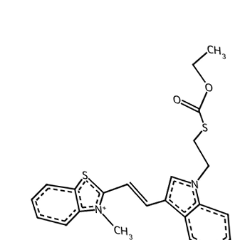 CCOC(=O)SCCn1cc(/C=C/c2sc3ccccc3[n+]2C)c2ccccc21